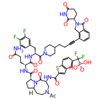 CC(=O)N1CC[C@H]2CC[C@@H](C(=O)N[C@@H](CCC(N)=O)C(=O)N[C@@H](Cc3ccc(F)c(F)c3)C(=O)N3CCC(CCC#Cc4cccc5c4CN(C4CCC(=O)NC4=O)C5=O)CC3)N2C(=O)[C@@H](NC(=O)c2cc3cc(C(F)(F)P(=O)(O)O)ccc3s2)C1